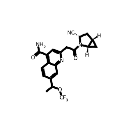 CC(OC(F)(F)F)c1ccc2c(C(N)=O)cc(CC(=O)N3[C@H](C#N)C[C@@H]4C[C@@H]43)nc2c1